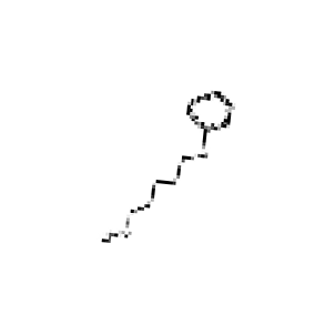 ClSCCCCCCc1ccccc1